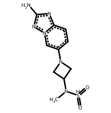 CN(C1CN(c2ccc3nc(N)nn3c2)C1)[SH](=O)=O